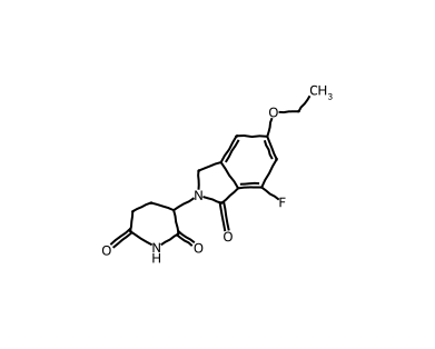 CCOc1cc(F)c2c(c1)CN(C1CCC(=O)NC1=O)C2=O